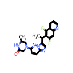 CC1CN(c2ccc3ncc(C(C)c4c(F)cc5ncccc5c4F)n3n2)CC(=O)N1